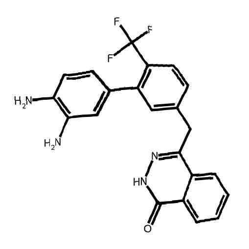 Nc1ccc(-c2cc(Cc3n[nH]c(=O)c4ccccc34)ccc2C(F)(F)F)cc1N